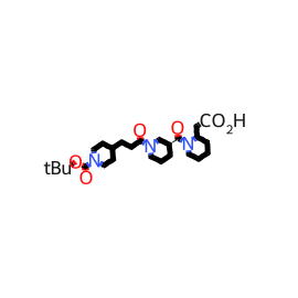 CC(C)(C)OC(=O)N1CCC(CCC(=O)N2CCC[C@@H](C(=O)N3CCCCC3CC(=O)O)C2)CC1